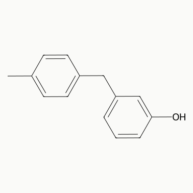 Cc1ccc(Cc2cccc(O)c2)cc1